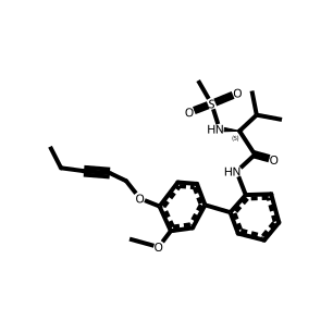 CCC#CCOc1ccc(-c2ccccc2NC(=O)[C@@H](NS(C)(=O)=O)C(C)C)cc1OC